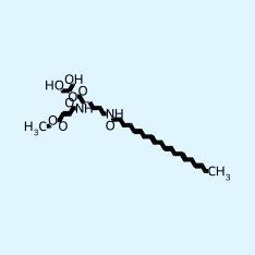 CCC=CCC=CCC=CCC=CCC=CCCCC(=O)NCCCC[C@H](NC(=O)C=CC(=O)OCC)C(=O)OC(CO)CO